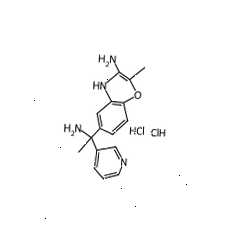 CC1=C(N)Nc2cc(C(C)(N)c3cccnc3)ccc2O1.Cl.Cl